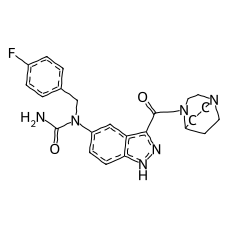 NC(=O)N(Cc1ccc(F)cc1)c1ccc2[nH]nc(C(=O)N3CCN4CCC3CC4)c2c1